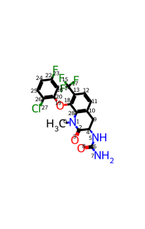 CN1C(=O)[C@H](NC(N)=O)Cc2ccc(C(F)(F)F)c(Oc3cc(F)ccc3Cl)c21